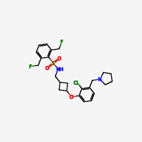 O=S(=O)(NCC1CC(Oc2cccc(CN3CCCC3)c2Cl)C1)c1c(CF)cccc1CF